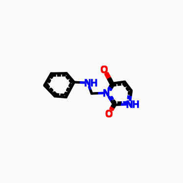 O=c1cc[nH]c(=O)n1CNc1ccccc1